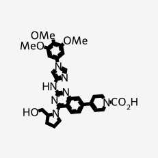 COc1cc(-n2cnc(Nc3nc(N4CCCC4CO)c4ccc(C5=CCN(C(=O)O)CC5)cc4n3)c2)cc(OC)c1OC